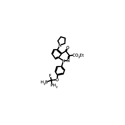 BC(F)(P)Oc1ccc(-n2nc(C(=O)OCC)c(=O)c3c(N4CCCC4)cccc32)cc1